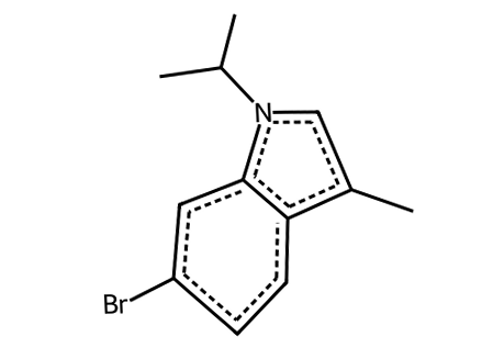 Cc1cn(C(C)C)c2cc(Br)ccc12